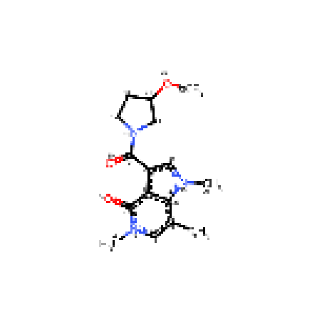 Cc1cn(C)c(=O)c2c(C(=O)N3CCC(OC(F)(F)F)C3)cn(C)c12